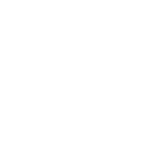 O=C(O)C(F)(F)F.O=C1NCN=C2N=NC=C12